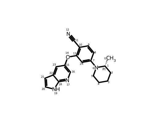 C[C@@H]1CCCCN1c1ccc(C#N)c(Oc2cnc3[nH]ccc3c2)c1